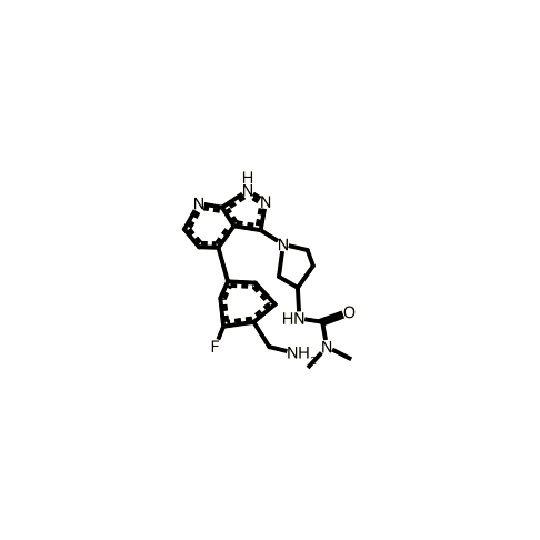 CN(C)C(=O)NC1CCN(c2n[nH]c3nccc(-c4ccc(CN)c(F)c4)c23)C1